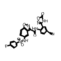 N#Cc1ccc(NC(=O)c2noc3ccc(NS(=O)(=O)c4ccc(F)cc4)cc23)c(-c2noc(=O)[nH]2)c1